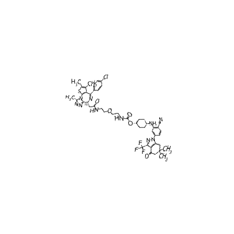 Cc1sc2c(c1C)C(c1ccc(Cl)cc1)=N[C@@H](CC(=O)NCCOCCNC(=O)O[C@H]1CC[C@H](Nc3cc(-n4nc(C(F)(F)F)c5c4CC(C)(C)CC5=O)ccc3C#N)CC1)c1nnc(C)n1-2